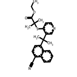 CCOC(=O)C(C)(C)Sc1ccncc1C(C)(C)c1ccc(C#N)c2ccccc12